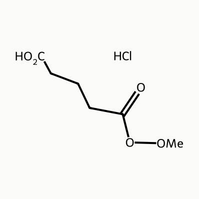 COOC(=O)CCCC(=O)O.Cl